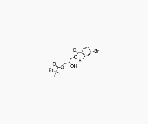 CCC(C)(C)C(=O)OCC(O)COC(=O)c1ccc(Br)cc1Br